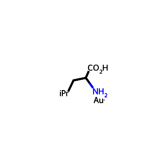 CC(C)CC(N)C(=O)O.[Au]